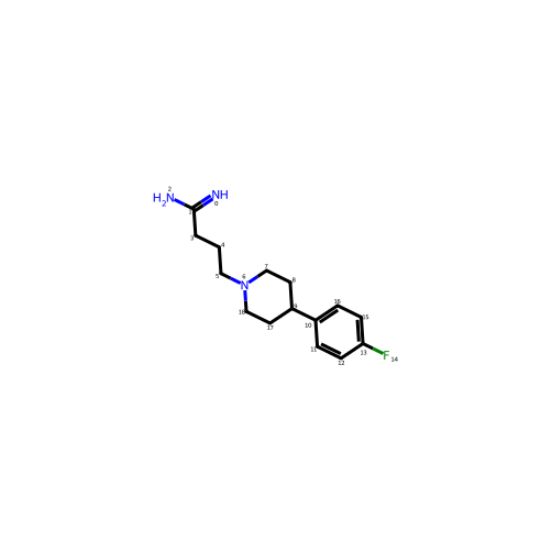 N=C(N)CCCN1CCC(c2ccc(F)cc2)CC1